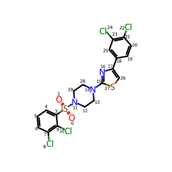 O=S(=O)(c1cccc(Cl)c1Cl)N1CCN(c2nc(-c3ccc(Cl)c(Cl)c3)cs2)CC1